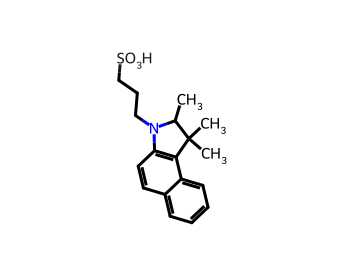 CC1N(CCCS(=O)(=O)O)c2ccc3ccccc3c2C1(C)C